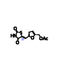 CC(=O)OCc1ccc(/C=C2\SC(=O)NC2=O)o1